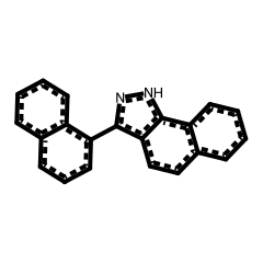 c1ccc2c(-c3n[nH]c4c3ccc3ccccc34)cccc2c1